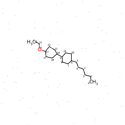 CCCCCCC1CCC(C2CCC(OCC)CC2)CC1